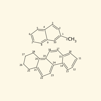 Cc1ccc2ccccc2c1.c1ccc2c(c1)ccc1c3c(ccc12)CCCC3